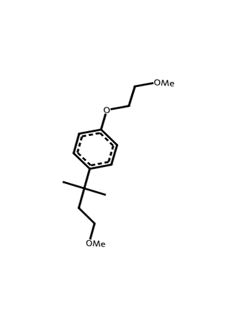 COCCOc1ccc(C(C)(C)CCOC)cc1